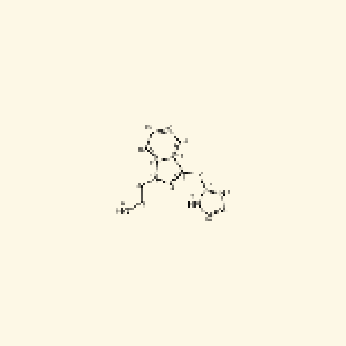 OCCn1cc(Cc2ncc[nH]2)c2ccccc21